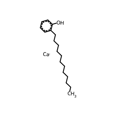 CCCCCCCCCCCCc1ccccc1O.[Ca]